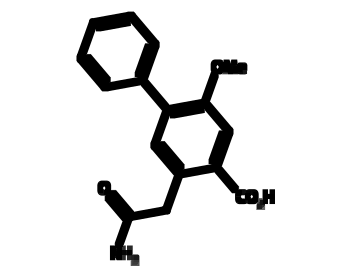 COc1cc(C(=O)O)c(CC(N)=O)cc1-c1ccccc1